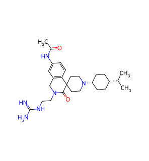 CC(=O)Nc1ccc2c(c1)CN(CCNC(=N)N)C(=O)C21CCN([C@H]2CC[C@@H](C(C)C)CC2)CC1